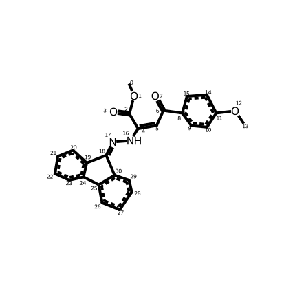 COC(=O)C(=CC(=O)c1ccc(OC)cc1)NN=C1c2ccccc2-c2ccccc21